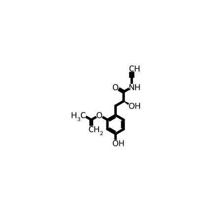 C#CNC(=O)[C@@H](O)Cc1ccc(O)cc1OC(=C)C